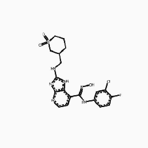 O=S1(=O)CCCC(CNc2nc3nccc(C(=NO)Nc4ccc(F)c(Cl)c4)c3[nH]2)C1